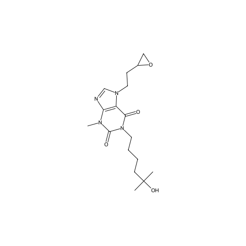 Cn1c(=O)n(CCCCC(C)(C)O)c(=O)c2c1ncn2CCC1CO1